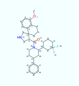 COc1cccc2c1CCCC21CNCC1C(=O)N1CCC(c2ccccc2)CC1C1CCCC(F)(F)C1